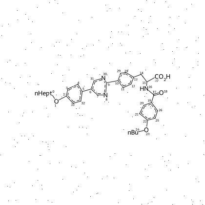 CCCCCCCOc1ccc(-c2cnc(-c3ccc(CC(NC(=O)c4ccc(OCCCC)cc4)C(=O)O)cc3)nc2)cc1